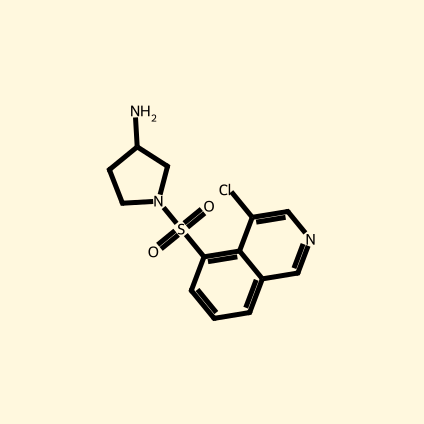 NC1CCN(S(=O)(=O)c2cccc3cncc(Cl)c23)C1